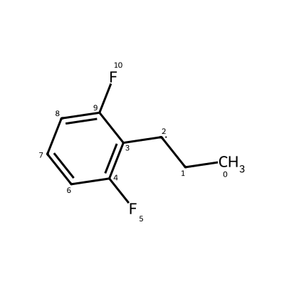 CC[CH]c1c(F)cccc1F